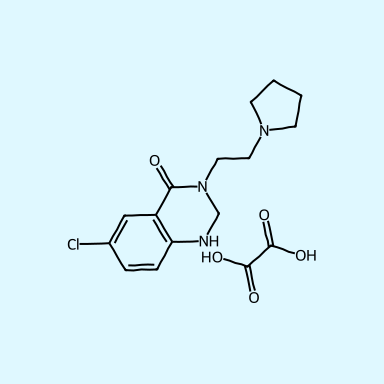 O=C(O)C(=O)O.O=C1c2cc(Cl)ccc2NCN1CCN1CCCC1